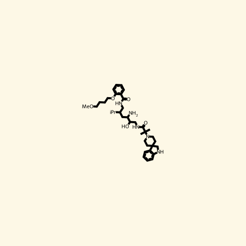 COCCCCOc1ccccc1C(=O)NCC(CC(N)C(O)CNC(=O)C(C)(C)N1CCC2(CC1)CNc1ccccc12)C(C)C